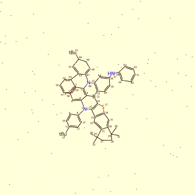 Cc1cc2c3c(c1)N(c1ccc(C(C)(C)C)cc1)c1c(sc4cc5c(cc14)C(C)(C)CCC5(C)C)B3c1ccc(Nc3ccccc3)cc1N2C1=CCC(C(C)(C)C)C=C1c1ccccc1